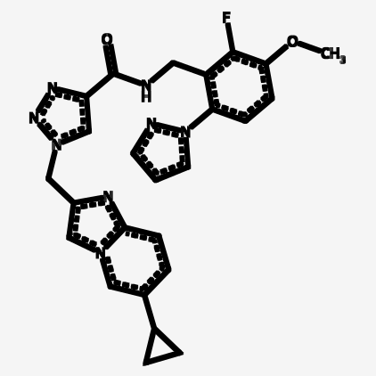 COc1ccc(-n2cccn2)c(CNC(=O)c2cn(Cc3cn4cc(C5CC5)ccc4n3)nn2)c1F